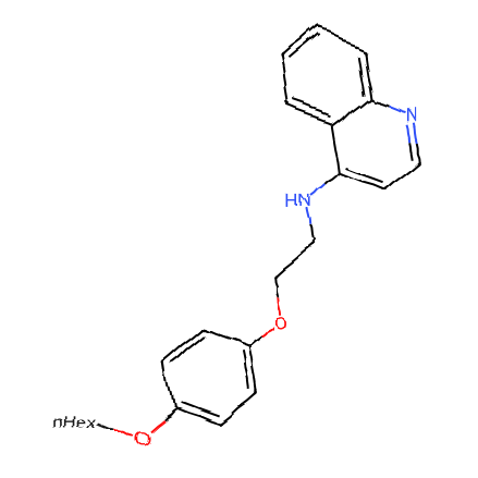 CCCCCCOc1ccc(OCCNc2ccnc3ccccc23)cc1